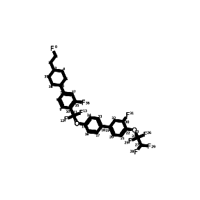 FCCC1CCC(c2ccc(C(F)(F)Oc3ccc(C4=CC=C(OC(F)(F)C(F)F)C(F)C4)cc3)c(F)c2)CC1